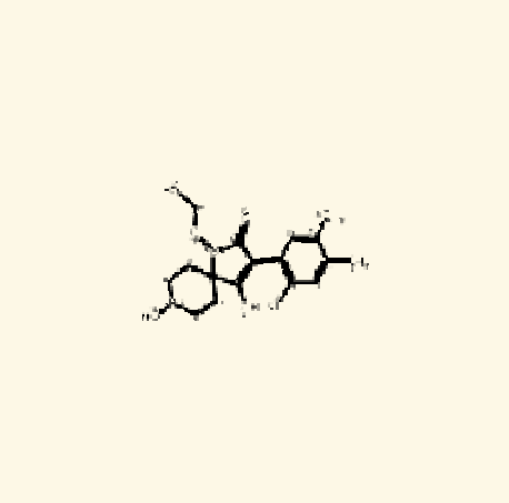 Cc1cc(Cl)c(C2=C(O)C3(CCN(O)CC3)N(OCO)C2=O)cc1C